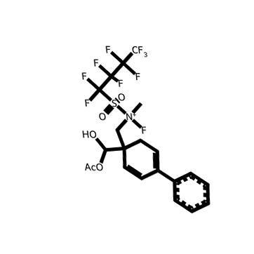 CC(=O)OC(O)C1(C[N+](C)(F)S(=O)(=O)C(F)(F)C(F)(F)C(F)(F)C(F)(F)F)C=CC(c2ccccc2)=CC1